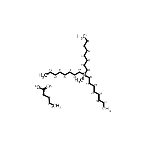 CCCCC(=O)[O-].CCCCCCCC[N+](C)(CCCCCCCC)CCCCCCCC